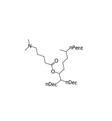 CCCCCCCCCCC(CCCCCCCCCC)C(CCCC(C)CCCCC)OC(=O)CCCCN(C)C